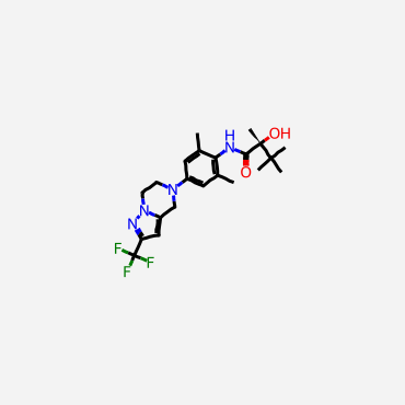 Cc1cc(N2CCn3nc(C(F)(F)F)cc3C2)cc(C)c1NC(=O)[C@](C)(O)C(C)(C)C